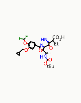 CC[C@@H](C(=N)C(=O)c1nc(-c2ccc(OC(F)F)c(OCC3CC3)c2)oc1[C@H](C)NC(=O)OC(C)(C)C)C(=O)O